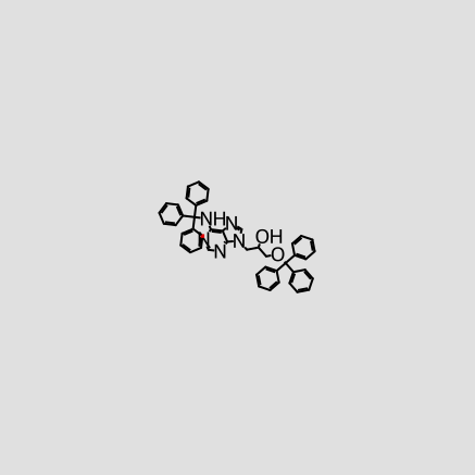 OC(COC(c1ccccc1)(c1ccccc1)c1ccccc1)Cn1cnc2c(NC(c3ccccc3)(c3ccccc3)c3ccccc3)ncnc21